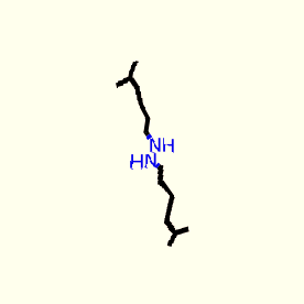 CC(C)CCCCNNCCCCC(C)C